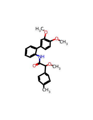 COc1ccc(-c2ccccc2NC(=O)C(OC)c2ccc(C)cc2)cc1OC